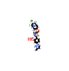 Cc1ccn(-c2ccc(-c3nnc(OC4CC5CC(F)CC(C4)N5)s3)c(O)c2)n1